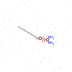 CCCCCCCCCCCCCCCCOc1ccc(OC(=O)c2cc(N)cc(N)c2)cc1